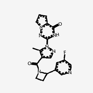 Cc1c(C(=O)N2CCC2c2cncc(F)c2)cnn1-c1nn2cccc2c(=O)[nH]1